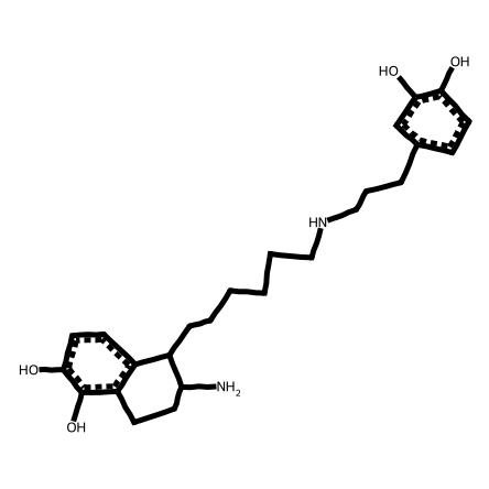 NC1CCc2c(ccc(O)c2O)C1CCCCCCNCCCc1ccc(O)c(O)c1